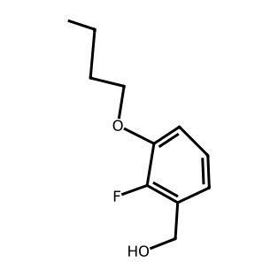 CCCCOc1cccc(CO)c1F